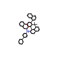 CC1(C)c2c(-c3cccc4ccccc34)cccc2-c2c(N(c3ccc(-c4ccccc4)cc3)c3ccc4ccccc4c3)ccc3cccc1c23